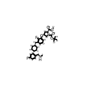 CNCc1ccc(F)cc1[C@H]1CC[C@H](Cc2cccc(O[C@H]3C[C@@H](C(=O)OC)N(C(=O)OC(C)(C)C)C3)c2F)CC1